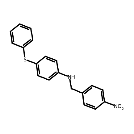 O=[N+]([O-])c1ccc(CNc2ccc(Sc3ccccc3)cc2)cc1